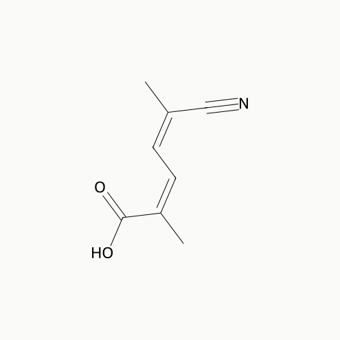 CC(C#N)=CC=C(C)C(=O)O